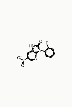 O=c1[nH]c2cc([N+](=O)[O-])cnc2n1-c1ccccc1F